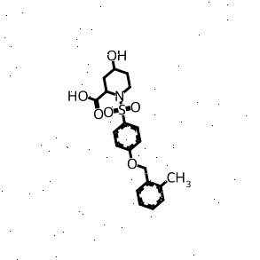 Cc1ccccc1COc1ccc(S(=O)(=O)N2CCC(O)CC2C(=O)O)cc1